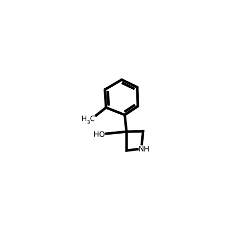 Cc1ccccc1C1(O)CNC1